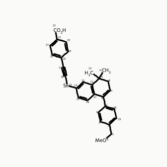 COCc1ccc(C2=CCC(C)(C)c3cc([Se]C#Cc4ccc(C(=O)O)cc4)ccc32)cc1